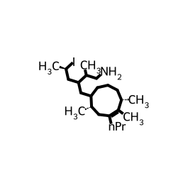 CCC/C1=C(\C)[C@@H](C)CCCC(CC(C[C@@H](C)I)C(C)CN)[C@@H](C)C1